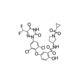 O=c1[nH]c(=O)n(-c2cc(Cl)c(Oc3ccc(O)c(S(=O)(=O)N[C@H]4CCN(S(=O)(=O)C5CC5)C4)c3)c(Cl)c2)nc1C(F)F